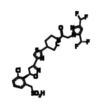 O=C(Cn1nc(C(F)F)cc1C(F)F)N1CCC(c2nc(C3=NO[C@@H](c4c(Cl)cccc4CS(=O)(=O)O)C3)cs2)CC1